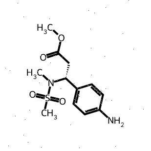 COC(=O)C[C@H](c1ccc(N)cc1)N(C)S(C)(=O)=O